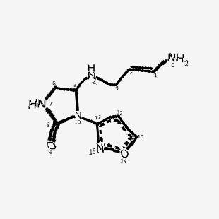 NC=CCNC1CNC(=O)N1c1ccon1